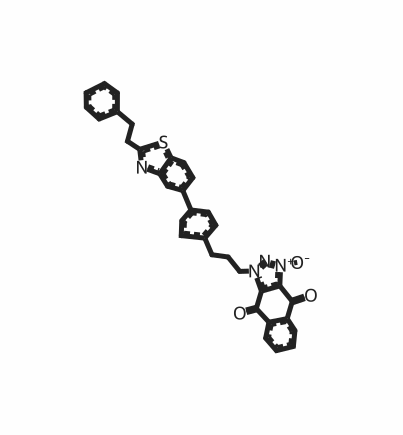 O=C1c2ccccc2C(=O)c2c1n(CCCc1ccc(-c3ccc4sc(CCc5ccccc5)nc4c3)cc1)n[n+]2[O-]